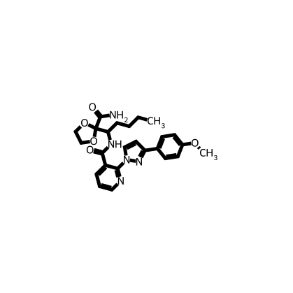 CCCCC(NC(=O)c1cccnc1-n1ccc(-c2ccc(OC)cc2)n1)C1(C(N)=O)OCCO1